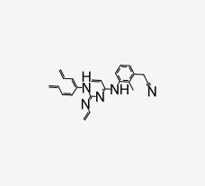 C=C/C=C\C(=C/C=C)NC(=N/C=C)/N=C(\C=C)Nc1cccc(CC#N)c1C